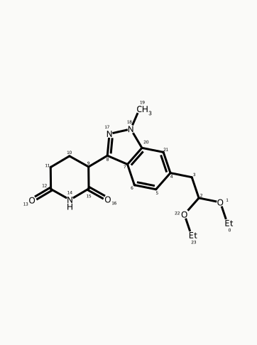 CCOC(Cc1ccc2c(C3CCC(=O)NC3=O)nn(C)c2c1)OCC